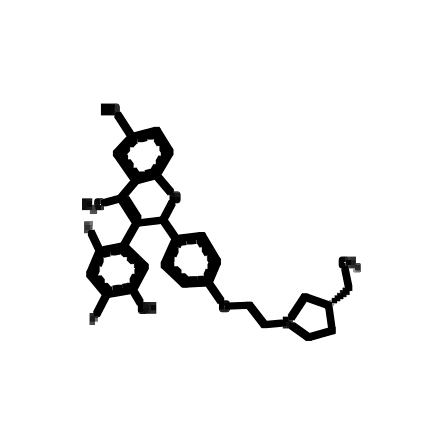 CC[C@@H]1CCN(CCOc2ccc(C3Oc4ccc(O)cc4C(C)=C3c3cc(O)c(F)cc3F)cc2)C1